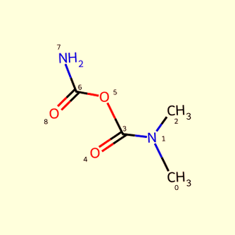 CN(C)C(=O)OC(N)=O